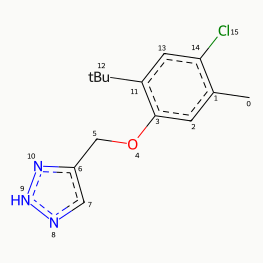 Cc1cc(OCc2cn[nH]n2)c(C(C)(C)C)cc1Cl